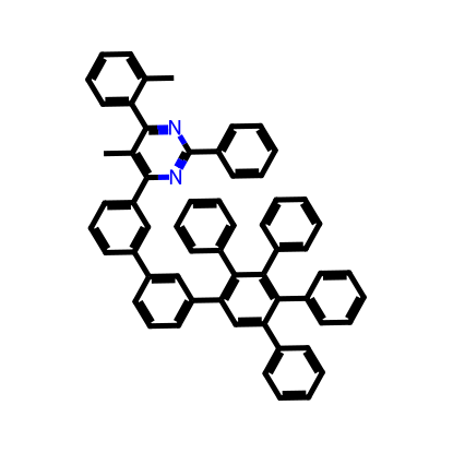 Cc1ccccc1-c1nc(-c2ccccc2)nc(-c2cccc(-c3cccc(-c4cc(-c5ccccc5)c(-c5ccccc5)c(-c5ccccc5)c4-c4ccccc4)c3)c2)c1C